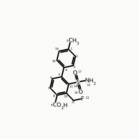 Cc1ccc(-c2ccc(C(=O)O)c(CF)c2S(N)(=O)=O)cc1